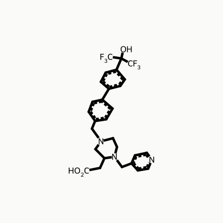 O=C(O)CC1CN(Cc2ccc(-c3ccc(C(O)(C(F)(F)F)C(F)(F)F)cc3)cc2)CCN1Cc1ccncc1